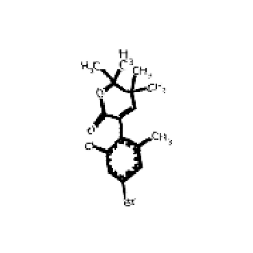 Cc1cc(Br)cc(Cl)c1C1=CC(C)(C)C(C)(C)OC1=O